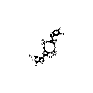 Nc1nc2c(ncn2C2OC3COP(=O)(S)OC4C(O)C(COP(=O)(S)OC3C2O)OC4n2cnc3cc(Cl)c(Cl)cc32)c(=O)[nH]1